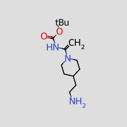 C=C(NC(=O)OC(C)(C)C)N1CCC(CCN)CC1